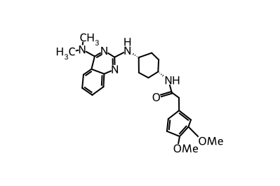 COc1ccc(CC(=O)N[C@H]2CC[C@@H](Nc3nc(N(C)C)c4ccccc4n3)CC2)cc1OC